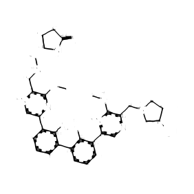 COc1nc(-c2cccc(-c3cccc(-c4cnc(CN5C[C@H](C)[C@@H](O)C5)c(OC)n4)c3Cl)c2Cl)cnc1CNC[C@@H]1CCC(=O)N1